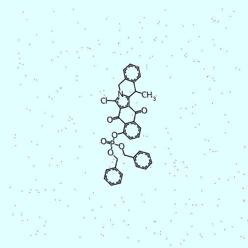 CC1c2ccccc2Cn2c(Cl)c3c(c21)C(=O)c1cccc(OP(=O)(OCc2ccccc2)OCc2ccccc2)c1C3=O